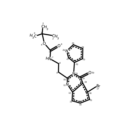 CC(C)(C)OC(=O)NCCc1nc2cccc(Br)c2c(=O)n1-c1cccnc1